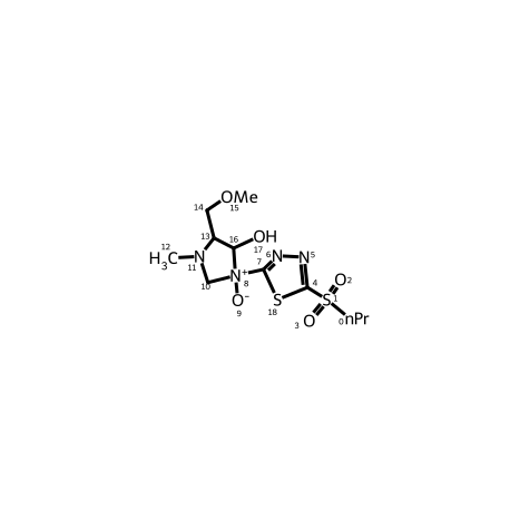 CCCS(=O)(=O)c1nnc([N+]2([O-])CN(C)C(COC)C2O)s1